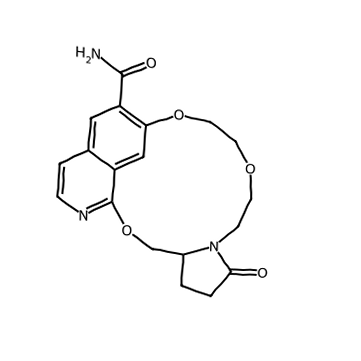 NC(=O)c1cc2ccnc3c2cc1OCCOCCN1C(=O)CCC1CO3